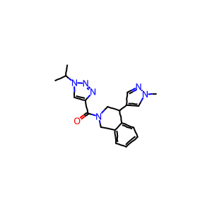 CC(C)n1cc(C(=O)N2Cc3ccccc3C(c3cnn(C)c3)C2)nn1